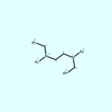 CC(=O)N(CCN(CC(C)C)C(C)=O)CC(C)C